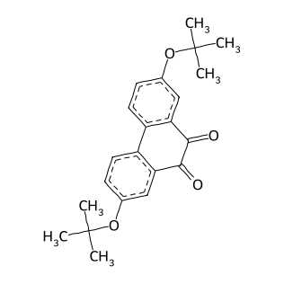 CC(C)(C)Oc1ccc2c(c1)C(=O)C(=O)c1cc(OC(C)(C)C)ccc1-2